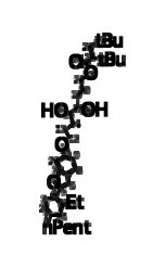 CCCCCc1ccc(-c2cc3ccc(OCCCC(O)C(O)CCCOC(=O)/C(=C/C(C)(C)C)C(C)(C)C)cc3o2)c(CC)c1